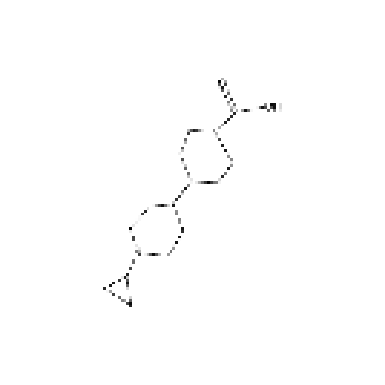 O=C(O)N1CCC(C2CCN(C3CC3)CC2)CC1